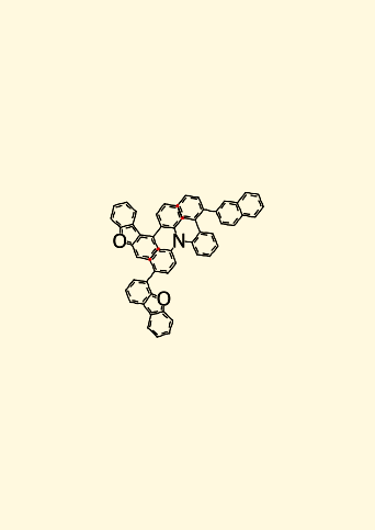 c1ccc(-c2ccccc2N(c2ccc(-c3cccc4c3oc3ccccc34)cc2)c2ccccc2-c2cccc3oc4ccccc4c23)c(-c2ccc3ccccc3c2)c1